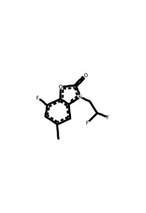 Cc1cc(F)c2oc(=O)n(CC(F)F)c2c1